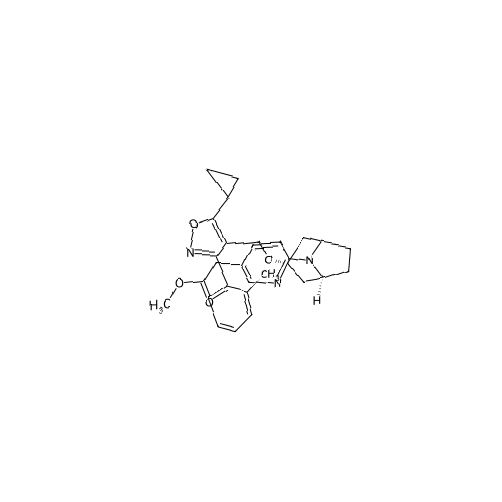 COC(=O)Cc1ccc(N2C3CC[C@H]2C[C@H](OCc2c(-c4ccccc4C)noc2C2CC2)C3)nc1